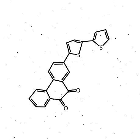 O=C1C(=O)c2cc(-c3ccc(-c4cc[c]s4)s3)ccc2-c2cc[c]cc21